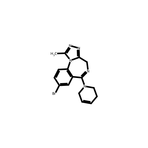 Cc1nnc2n1-c1ccc(Br)cc1C(N1CC=CCC1)=NC2